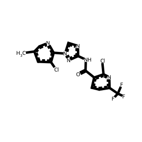 Cc1cnc(-n2cnc(NC(=O)c3ccc(C(F)(F)F)nc3Cl)n2)c(Cl)c1